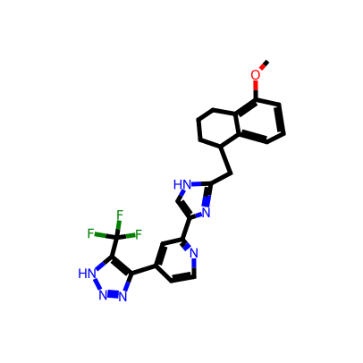 COc1cccc2c1CCCC2Cc1nc(-c2cc(-c3nn[nH]c3C(F)(F)F)ccn2)c[nH]1